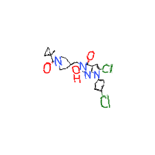 CC1(C(=O)N2CCC(O)(Cn3cnc4c(cc(Cl)n4-c4ccc(Cl)cc4)c3=O)CC2)CC1